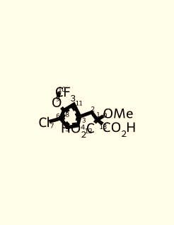 COC(Cc1ccc(Cl)c(OC(F)(F)F)c1)(C(=O)O)C(=O)O